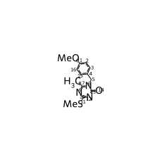 COc1ccc(Cn2c(C)nc(SC)nc2=O)cc1